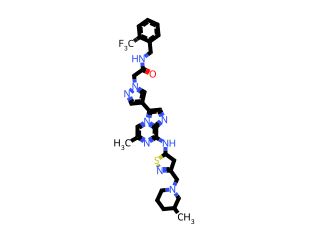 Cc1cn2c(-c3cnn(CC(=O)NCc4ccccc4C(F)(F)F)c3)cnc2c(NC2CC(CN3CCCC(C)C3)=NS2)n1